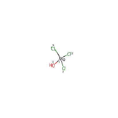 [OH][Mo]([Cl])([Cl])[Cl]